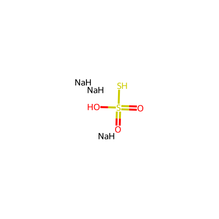 O=S(=O)(O)S.[NaH].[NaH].[NaH]